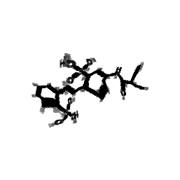 CC(C)C(=O)Nc1ccc(C=Cc2ccccc2S(=O)(=O)O)c(S(=O)(=O)O)c1